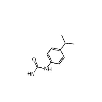 CC(C)c1ccc(NC([NH])=O)cc1